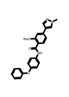 COc1cc(-c2cnn(C)c2)ccc1C(=O)Nc1ccc(Oc2ccccc2)cc1